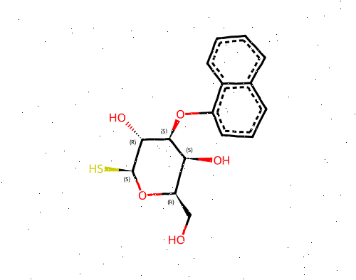 OC[C@H]1O[C@@H](S)[C@H](O)[C@@H](Oc2cccc3ccccc23)[C@H]1O